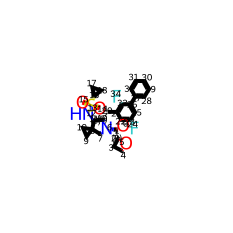 O=C([C@H]1CCO1)N1CC2(CC2)[C@H](NS(=O)(=O)C2CC2)[C@@H]1Cc1cc(F)cc(-c2ccccc2)c1F